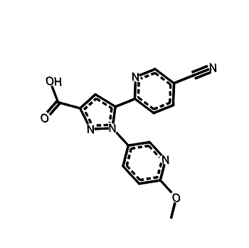 COc1ccc(-n2nc(C(=O)O)cc2-c2ccc(C#N)cn2)cn1